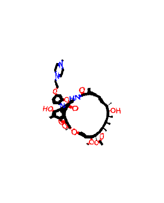 CO[C@H]1/C=C/O[C@@]2(C)Oc3c(C)c(O)c4c(=O)c(c5oc6cc(OCCN7CCN(C)CC7)ccc6nc-5c4c3C2=O)NC(=O)/C(C)=C\C=C\[C@H](C)[C@H](O)[C@@H](C)[C@@H](C)[C@@H](C)[C@H](OC(C)=O)[C@@H]1C